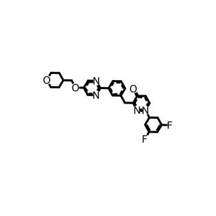 O=c1ccn(C2C=C(F)C=C(F)C2)nc1Cc1cccc(-c2ncc(OCC3CCOCC3)cn2)c1